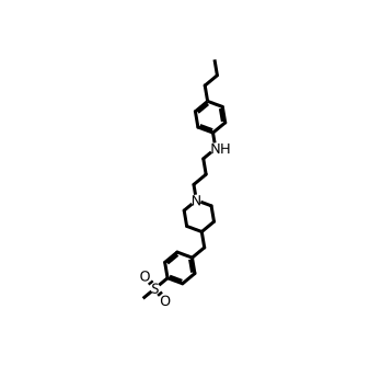 CCCc1ccc(NCCCN2CCC(Cc3ccc(S(C)(=O)=O)cc3)CC2)cc1